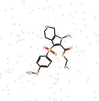 CCOC(=O)c1c(S(=O)(=O)c2ccc(OC)cc2)c2c(n1C)CNCC2